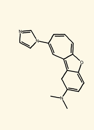 CN(C)C1=CC=c2oc3c(c2C1)C=C(n1ccnc1)C=CC=3